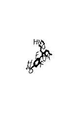 CNC(=O)c1cc(F)c(-c2oc3nc(C)ccc3c2CC2CNCCO2)c(F)c1